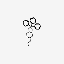 CCCC1CCC(CP(I)(c2ccccc2)(c2ccccc2)c2ccccc2)CC1